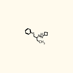 CCC(CSc1ccccc1)[N]NC1CCC1